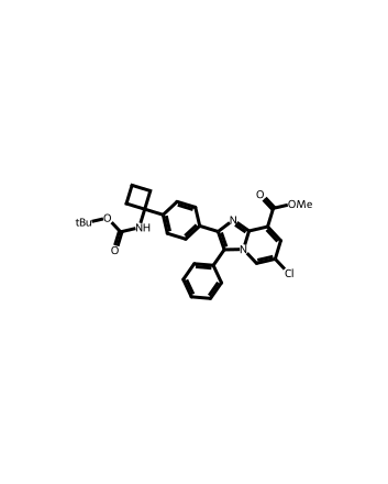 COC(=O)c1cc(Cl)cn2c(-c3ccccc3)c(-c3ccc(C4(NC(=O)OC(C)(C)C)CCC4)cc3)nc12